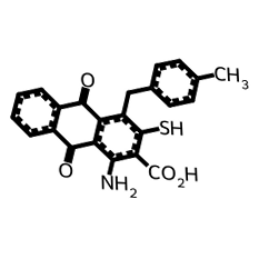 Cc1ccc(Cc2c(S)c(C(=O)O)c(N)c3c2C(=O)c2ccccc2C3=O)cc1